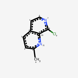 Cc1ccc2ccnc(Cl)c2n1